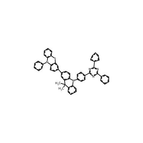 CC1(C)c2ccccc2N(c2ccc(-c3nc(-c4ccccc4)nc(-c4ccccc4)n3)cc2)c2ccc(-c3ccc4c(c3)Sc3ccccc3N4c3ccccc3)cc21